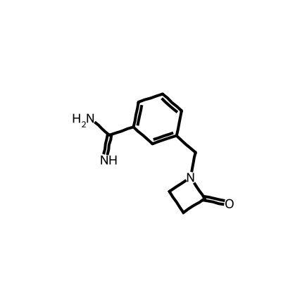 N=C(N)c1cccc(CN2CCC2=O)c1